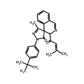 CC(C)=CC(=O)N1N=Cc2ccccc2C12C(=O)N(c1ccc(C(C)(C)C)cc1)N=C2C